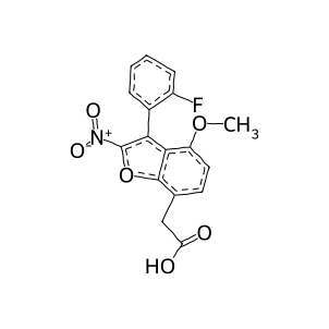 COc1ccc(CC(=O)O)c2oc([N+](=O)[O-])c(-c3ccccc3F)c12